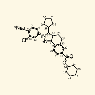 N#Cc1ccc(N2N=C3c4ccc(C(=O)OC5CCCCC5)cc4CCC3C2C2CCCC2)cc1Cl